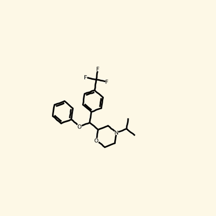 CC(C)N1CCOC(C(Oc2ccccc2)c2ccc(C(F)(F)F)cc2)C1